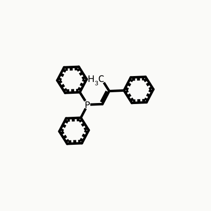 CC(=CP(c1ccccc1)c1ccccc1)c1ccccc1